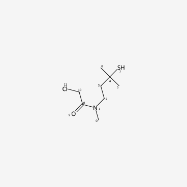 CN(CCC(C)(C)S)C(=O)CCl